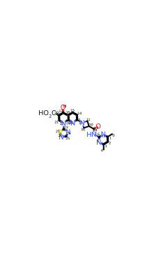 Cc1cc(C)nc(NC(=O)C2CN(c3ccc4c(=O)c(C(=O)O)cn(-c5ncns5)c4n3)C2)n1